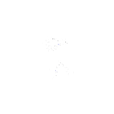 CC(=O)O/N=C(\C)c1ccc2c(c1)c1cc(C(=O)c3ccccc3C)ccc1n2CC(=O)OCCOC(=O)Cn1c2ccc(/C(CC(C)CC(C)(C)C)=N/OC(C)=O)cc2c2cc(C(=O)c3c(C)cc(C)cc3C)c3ccccc3c21